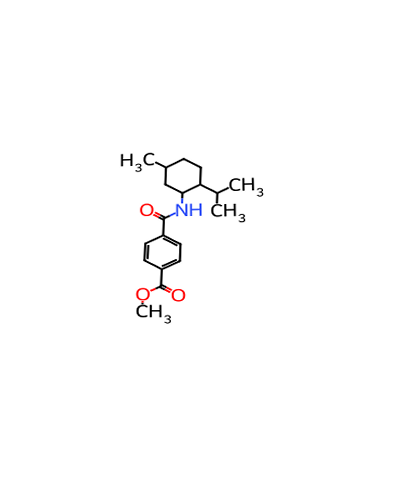 COC(=O)c1ccc(C(=O)NC2CC(C)CCC2C(C)C)cc1